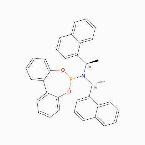 C[C@H](c1cccc2ccccc12)N([C@H](C)c1cccc2ccccc12)p1oc2ccccc2c2ccccc2o1